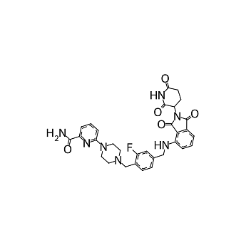 NC(=O)c1cccc(N2CCN(Cc3ccc(CNc4cccc5c4C(=O)N(C4CCC(=O)NC4=O)C5=O)cc3F)CC2)n1